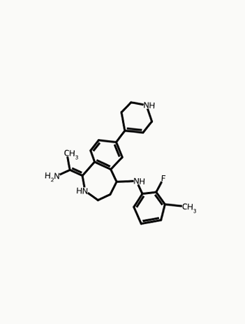 C/C(N)=C1/NCCC(Nc2cccc(C)c2F)c2cc(C3=CCNCC3)ccc21